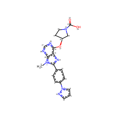 Cn1c(-c2ccc(-n3cccn3)cc2)nc2c(O[C@H]3CCN(C(=O)O)C3)ncnc21